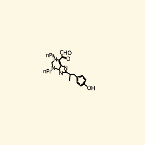 CCCN1CN(CCC)C(C(=O)C=O)=C2N=C(C(C)Cc3ccc(O)cc3)N=C21